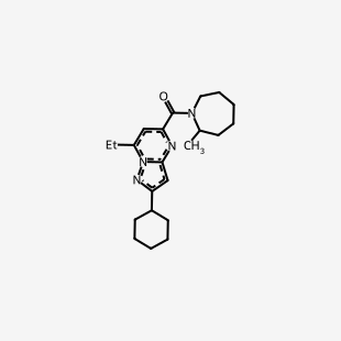 CCc1cc(C(=O)N2CCCCCC2C)nc2cc(C3CCCCC3)nn12